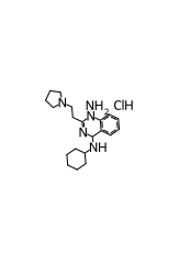 Cl.NN1C(CCN2CCCC2)=NC(NC2CCCCC2)c2ccccc21